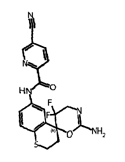 N#Cc1ccc(C(=O)Nc2ccc3c(c2)[C@@]2(CCS3)OC(N)=NCC2(F)F)nc1